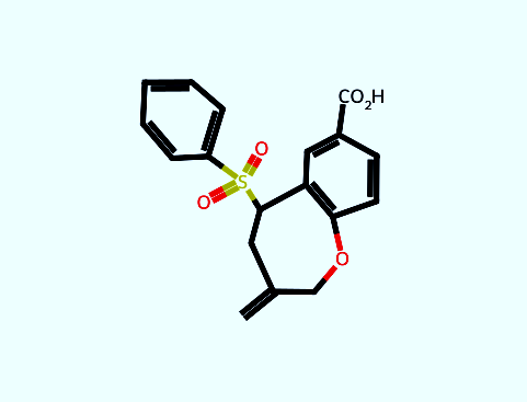 C=C1COc2ccc(C(=O)O)cc2C(S(=O)(=O)c2ccccc2)C1